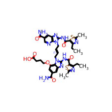 CCc1nc(C)sc1C(=O)Nc1nc2cc(C(N)=O)cnc2n1C/C=C/Cn1c(NC(=O)c2sc(C)nc2CC)nc2cc(C(N)=O)cc(OCCCC(=O)O)c21